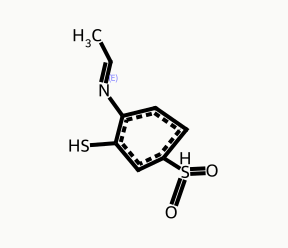 C/C=N/c1ccc([SH](=O)=O)cc1S